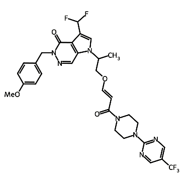 COc1ccc(Cn2ncc3c(c(C(F)F)cn3C(C)COC=CC(=O)N3CCN(c4ncc(C(F)(F)F)cn4)CC3)c2=O)cc1